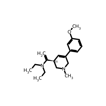 C=C([C@H]1C=C(c2cccc(OC)c2)CN(C)C1)N(CC)CC